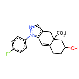 O=C(O)[C@]12Cc3cnn(-c4ccc(F)cc4)c3C=C1CCC(O)C2